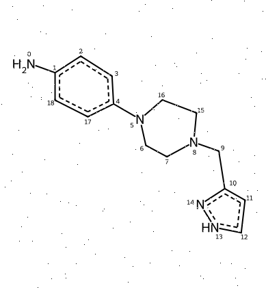 Nc1ccc(N2CCN(Cc3cc[nH]n3)CC2)cc1